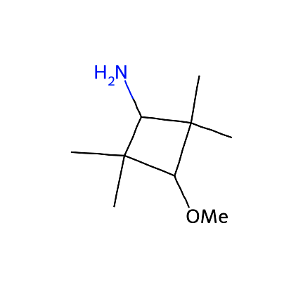 COC1C(C)(C)C(N)C1(C)C